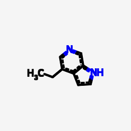 CCc1cncc2[nH]ccc12